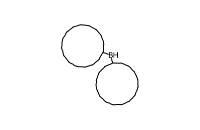 B(C1CCCCCCCCCCCCCCC1)C1CCCCCCCCCCCCCCC1